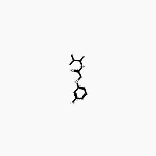 CC(C)C(C)NC(=O)COc1cccc(Cl)c1